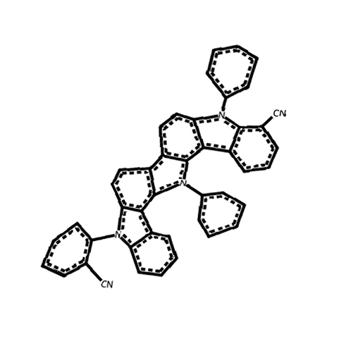 N#Cc1ccccc1-n1c2ccccc2c2c1ccc1c3ccc4c(c5cccc(C#N)c5n4-c4ccccc4)c3n(-c3ccccc3)c12